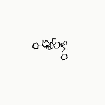 CCC(n1cnc(-c2ccccc2)cc1=O)C1(O)CCN(C(=O)[C@H](C)CC2CCCCC2)CC1